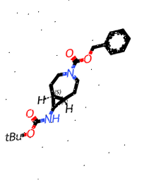 CC(C)(C)OC(=O)NC1[C@H]2CCN(C(=O)OCc3ccccc3)CC[C@@H]12